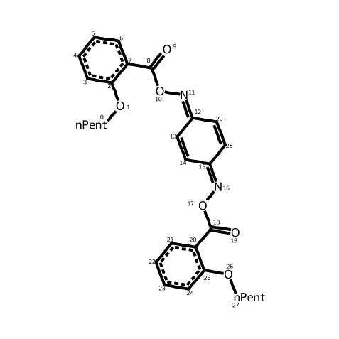 CCCCCOc1ccccc1C(=O)ON=C1C=CC(=NOC(=O)c2ccccc2OCCCCC)C=C1